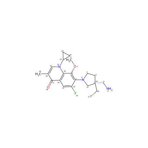 COc1c(N2CC[C@@](CN)(CF)C2)c(F)cc2c(=O)c(C)cn(C3CC3)c12